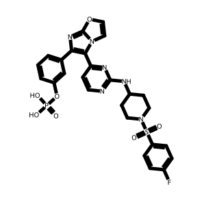 O=P(O)(O)Oc1cccc(-c2nc3occn3c2-c2ccnc(NC3CCN(S(=O)(=O)c4ccc(F)cc4)CC3)n2)c1